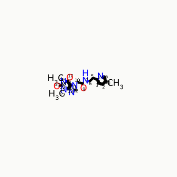 Cc1ccc(CCNC(=O)Cn2cnc3c2c(=O)n(C)c(=O)n3C)nc1